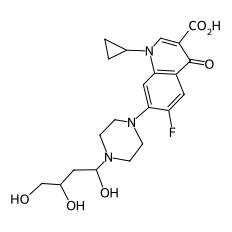 O=C(O)c1cn(C2CC2)c2cc(N3CCN(C(O)CC(O)CO)CC3)c(F)cc2c1=O